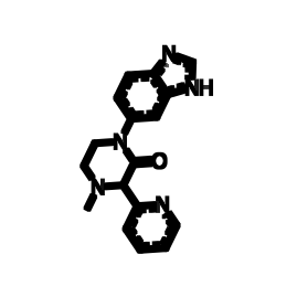 CN1CCN(c2ccc3nc[nH]c3c2)C(=O)C1c1ccccn1